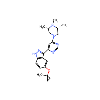 C[C@@H]1CN(c2cc(-c3n[nH]c4ccc(OC5(C)CC5)cc34)ncn2)C[C@H](C)N1C